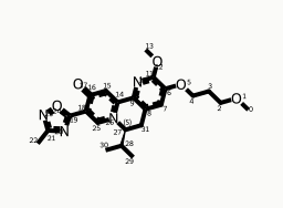 COCCCOc1cc2c(nc1OC)-c1cc(=O)c(-c3nc(C)no3)cn1[C@H](C(C)C)C2